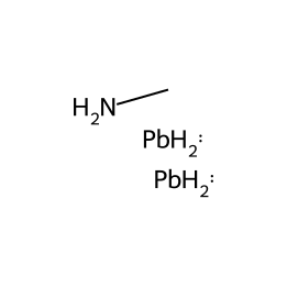 CN.[PbH2].[PbH2]